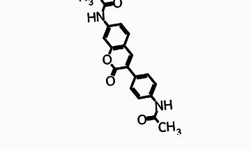 CC(=O)Nc1ccc(-c2cc3ccc(NC(C)=O)cc3oc2=O)cc1